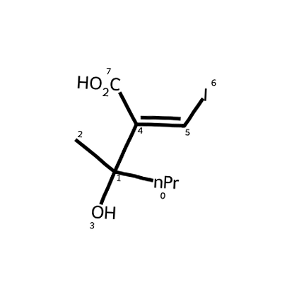 CCCC(C)(O)C(=CI)C(=O)O